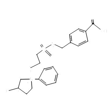 O=C(O)c1ccc(CNS(=O)(=O)CCC[N@+]2(c3ccccc3)CCC(F)C2)cc1